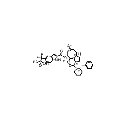 CC(=O)N1CC[C@H]2CC[C@@H](C(=O)N3CCCC[C@H]3Cc3ccccc3)N2C(=O)[C@@H](NC(=O)c2cc3cc(C(F)(F)P(=O)(O)O)ccc3[nH]2)C1